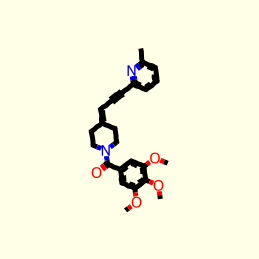 COc1cc(C(=O)N2CCC(=CC#Cc3cccc(C)n3)CC2)cc(OC)c1OC